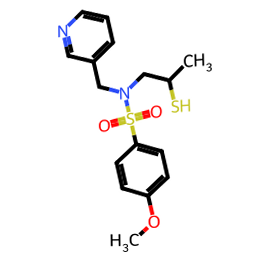 COc1ccc(S(=O)(=O)N(Cc2cccnc2)CC(C)S)cc1